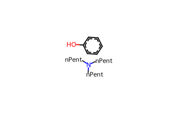 CCCCCN(CCCCC)CCCCC.Oc1ccccc1